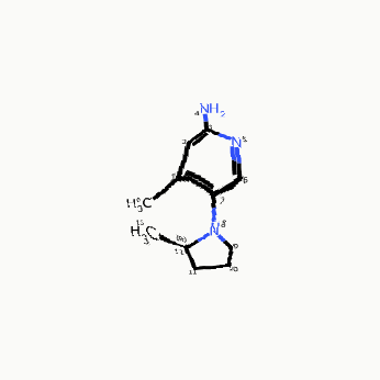 Cc1cc(N)ncc1N1CCC[C@H]1C